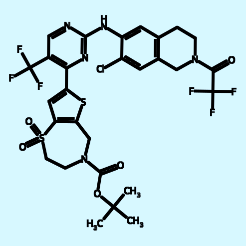 CC(C)(C)OC(=O)N1CCS(=O)(=O)c2cc(-c3nc(Nc4cc5c(cc4Cl)CN(C(=O)C(F)(F)F)CC5)ncc3C(F)(F)F)sc2C1